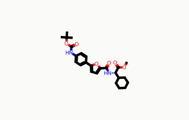 COC(=O)[C@@H](NC(=O)c1ccc(-c2ccc(NC(=O)OC(C)(C)C)cc2)o1)C1CCCCC1